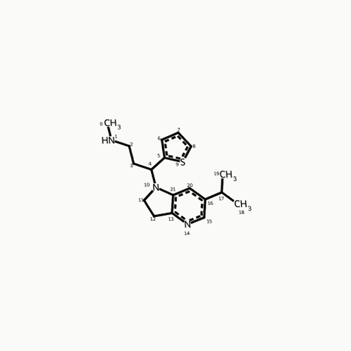 CNCCC(c1cccs1)N1CCc2ncc(C(C)C)cc21